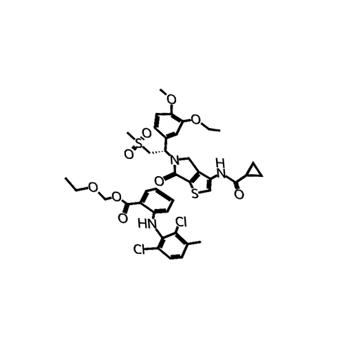 CCOCOC(=O)c1ccccc1Nc1c(Cl)ccc(C)c1Cl.CCOc1cc([C@@H](CS(C)(=O)=O)N2Cc3c(NC(=O)C4CC4)csc3C2=O)ccc1OC